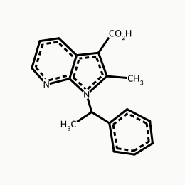 Cc1c(C(=O)O)c2cccnc2n1C(C)c1ccccc1